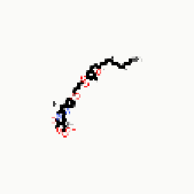 CCc1c2c(nc3ccc(OC(=O)CCCC(=O)Oc4cc(C)c5c(c4)CC[C@@](C)(CCC[C@H](C)CCC[C@H](C)CCCC(C)C)O5)cc13)-c1cc3c(c(=O)n1C2)COC(=O)[C@]3(O)CC